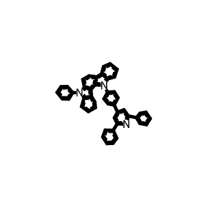 c1ccc(-c2cc(-c3ccc(-n4c5ccccc5c5ccc6c(c7ccccc7n6-c6ccccc6)c54)cc3)cc(-c3ccccc3)n2)cc1